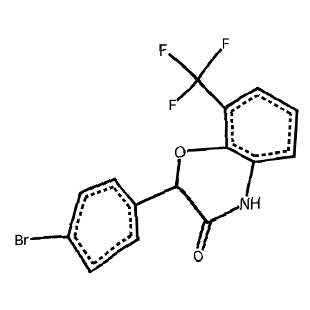 O=C1Nc2cccc(C(F)(F)F)c2OC1c1ccc(Br)cc1